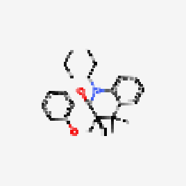 CO[C@]12c3ccccc3OC[C@H]1C(C)(C)c1ccccc1N2C1CCCCC1